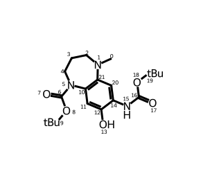 CN1CCCN(C(=O)OC(C)(C)C)c2cc(O)c(NC(=O)OC(C)(C)C)cc21